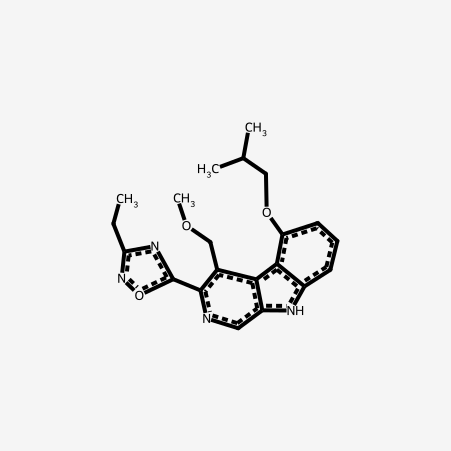 CCc1noc(-c2ncc3[nH]c4cccc(OCC(C)C)c4c3c2COC)n1